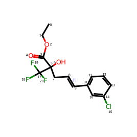 CCOC(=O)C(O)(C/C=C/c1cccc(Cl)c1)C(F)(F)F